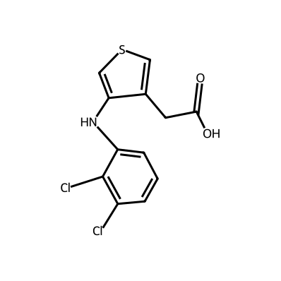 O=C(O)Cc1cscc1Nc1cccc(Cl)c1Cl